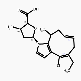 CC/C1=C(\Cl)c2ccn([C@H]3C[C@@H](C)[C@@H](C(=O)O)O3)c2C(C)C/C=C/C1